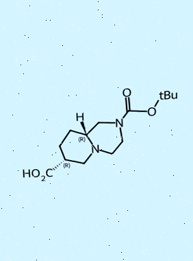 CC(C)(C)OC(=O)N1CCN2C[C@H](C(=O)O)CC[C@@H]2C1